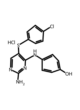 Cl.Nc1ncc(Sc2ccc(Cl)cc2)c(Nc2ccc(O)cc2)n1